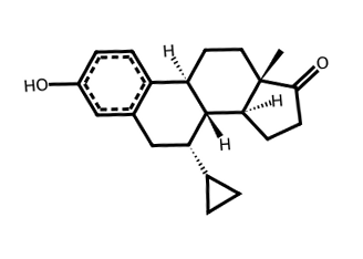 C[C@]12CC[C@@H]3c4ccc(O)cc4C[C@@H](C4CC4)[C@H]3[C@@H]1CCC2=O